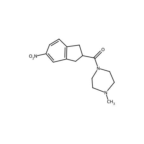 CN1CCN(C(=O)C2Cc3ccc([N+](=O)[O-])cc3C2)CC1